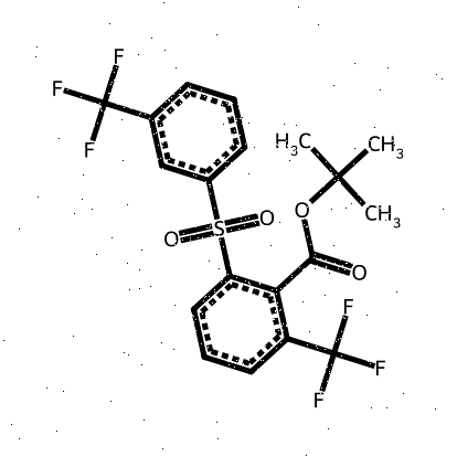 CC(C)(C)OC(=O)c1c(C(F)(F)F)cccc1S(=O)(=O)c1cccc(C(F)(F)F)c1